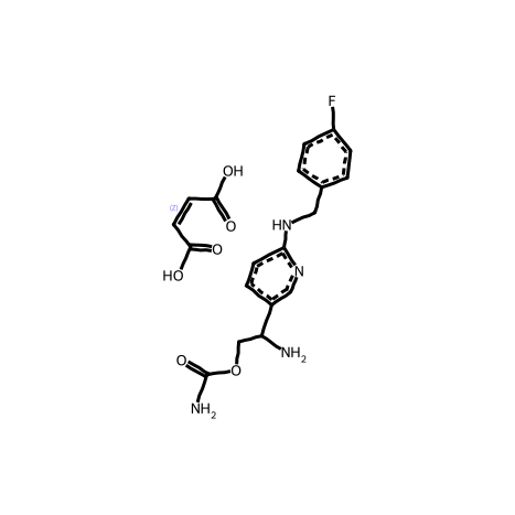 NC(=O)OCC(N)c1ccc(NCc2ccc(F)cc2)nc1.O=C(O)/C=C\C(=O)O